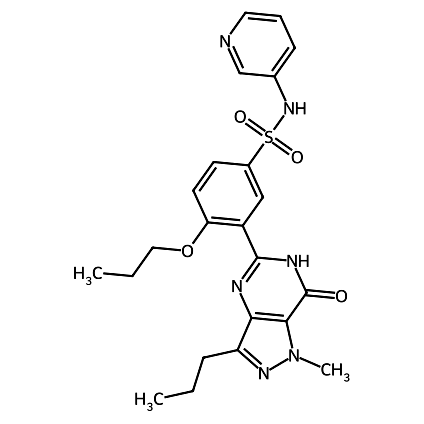 CCCOc1ccc(S(=O)(=O)Nc2cccnc2)cc1-c1nc2c(CCC)nn(C)c2c(=O)[nH]1